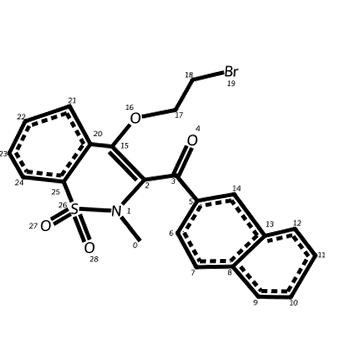 CN1C(C(=O)c2ccc3ccccc3c2)=C(OCCBr)c2ccccc2S1(=O)=O